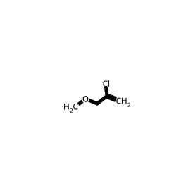 [CH2]OCC(=C)Cl